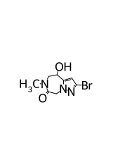 CN1CC(O)c2cc(Br)nn2CC1=O